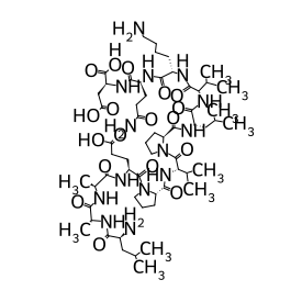 CC(C)C[C@H](NC(=O)[C@@H]1CCCN1C(=O)[C@@H](NC(=O)[C@@H]1CCCN1C(=O)[C@H](CCC(=O)O)NC(=O)[C@H](C)NC(=O)[C@H](C)NC(=O)[C@@H](N)CC(C)C)C(C)C)C(=O)N[C@H](C(=O)N[C@@H](CCCCN)C(=O)N[C@@H](CCC(N)=O)C(=O)N[C@@H](CC(=O)O)C(=O)O)C(C)C